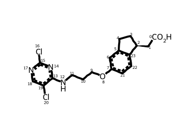 O=C(O)C[C@@H]1CCc2cc(OCCCNc3nc(Cl)ncc3Cl)ccc21